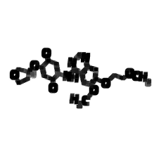 COCCOc1cc2ncnc(NC3=CC(=O)C(O[C@H]4CCOC4)=CC3=O)c2cc1OC